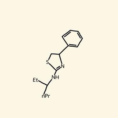 CCCC(CC)NC1=NC(c2ccccc2)CS1